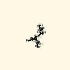 O=C(O)CCC(NC(=O)NC(CCCCNC(=O)c1cc(C(=O)NC(CCC(=O)O)C(=O)O)cc(-n2cc(CCCF)nn2)c1)C(=O)O)C(=O)O